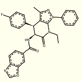 CCN1C(=O)[C@@H](NC(=O)c2ccc3ncoc3c2)[C@@H](c2ccc(F)cc2)c2c(C)nn(-c3ccccc3)c21